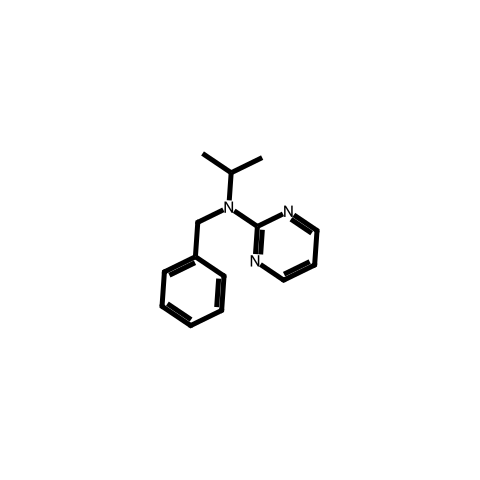 CC(C)N(Cc1ccccc1)c1ncccn1